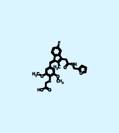 COc1cc(C=C2C(C)=C(CC(=O)NCc3ccco3)c3cc(F)ccc32)cc(OC)c1SCC(=O)O